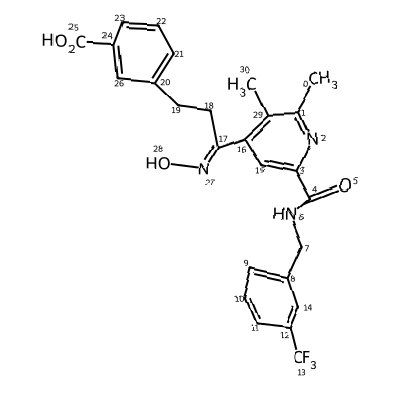 Cc1nc(C(=O)NCc2cccc(C(F)(F)F)c2)cc(/C(CCc2cccc(C(=O)O)c2)=N/O)c1C